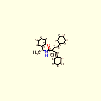 C[C@@H](NC(=O)[C@@](C)(CCC1CCCCC1)CC1CCCCC1)C1CCCCC1